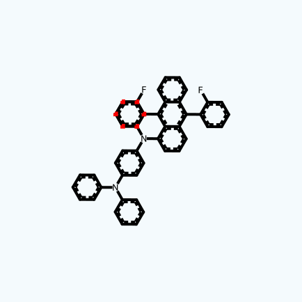 Fc1ccccc1-c1c2ccccc2c(-c2ccccc2F)c2c(N(c3ccccc3)c3ccc(N(c4ccccc4)c4ccccc4)cc3)cccc12